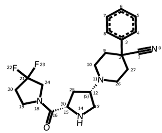 N#CC1(c2ccccc2)CCN([C@@H]2CN[C@H](C(=O)N3CCC(F)(F)C3)C2)CC1